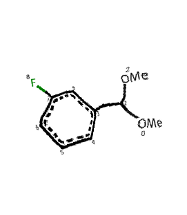 COC(OC)c1cccc(F)c1